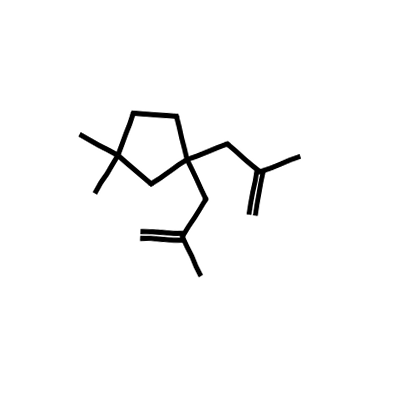 C=C(C)CC1(CC(=C)C)CCC(C)(C)C1